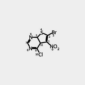 O=[N+]([O-])C1=C(Br)SC2N=CN=C(Cl)C12